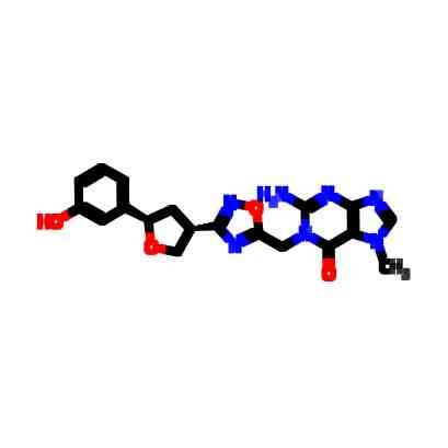 Cn1cnc2nc(N)n(Cc3nc([C@@H]4CO[C@@H](c5cccc(O)c5)C4)no3)c(=O)c21